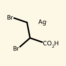 O=C(O)C(Br)CBr.[Ag]